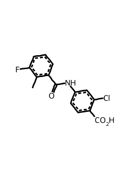 Cc1c(F)cccc1C(=O)Nc1ccc(C(=O)O)c(Cl)c1